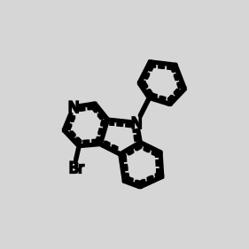 Brc1cncc2c1c1ccccc1n2-c1ccccc1